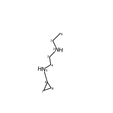 CCNCCNC1CC1